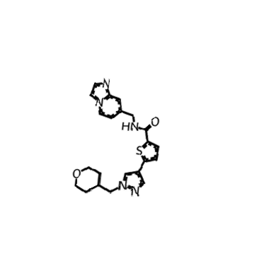 O=C(NCc1ccn2ccnc2c1)c1ccc(-c2cnn(CC3CCOCC3)c2)s1